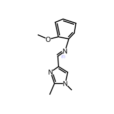 COc1ccccc1/N=C/c1cn(C)c(C)n1